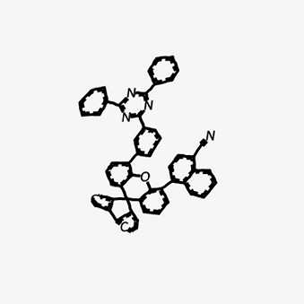 N#Cc1ccc(-c2cccc3c2Oc2c(-c4cccc(-c5nc(-c6ccccc6)nc(-c6ccccc6)n5)c4)cccc2C32c3ccccc3-c3ccccc32)c2ccccc12